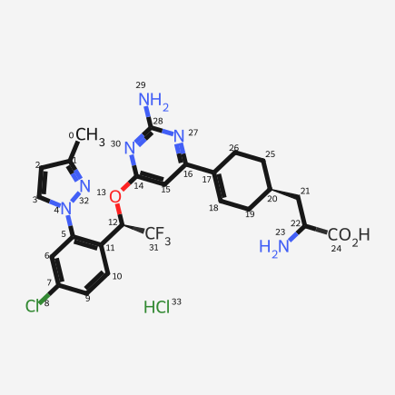 Cc1ccn(-c2cc(Cl)ccc2[C@@H](Oc2cc(C3=CC[C@H](CC(N)C(=O)O)CC3)nc(N)n2)C(F)(F)F)n1.Cl